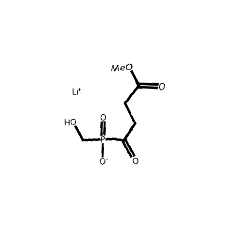 COC(=O)CCC(=O)P(=O)([O-])CO.[Li+]